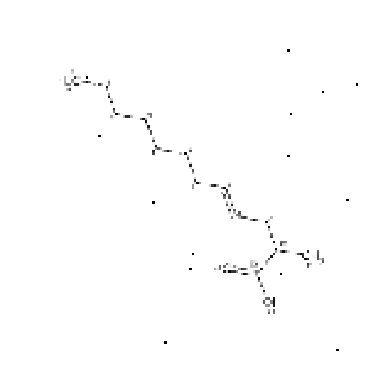 CCCCCCCC=CCC(C)C(=O)O